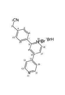 Br.Br.N#CCc1ccc(-c2cc(-c3ccncc3)ccn2)cc1